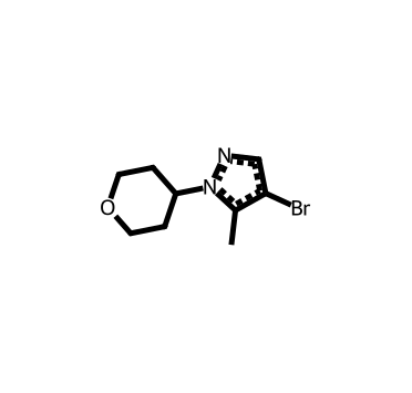 Cc1c(Br)cnn1C1CCOCC1